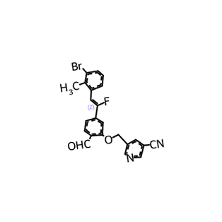 Cc1c(Br)cccc1/C=C(\F)c1ccc(C=O)c(OCc2cncc(C#N)c2)c1